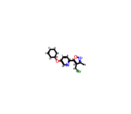 Cc1noc(-c2ccc(OC3CCCCC3)cn2)c1CBr